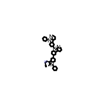 C#C/C=C\c1c(C)n(-c2ccccc2)c2ccc(-c3ccc4c(c3)c3cccnc3n4-c3ccc4c(c3)c3cccnc3n4-c3ccccc3)cc12